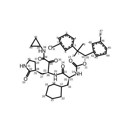 CC(C)(c1cccc(Cl)c1)[C@@H](OC(=O)N[C@@H](CC1CCCCC1)C(=O)N[C@@H](C[C@@H]1CCNC1=O)C(=O)C(=O)NC1CC1)c1cccc(F)c1